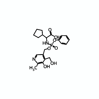 Cc1ncc(COP(=O)(NC(C(=O)O)C2CCCC2)Oc2ccccc2)c(CO)c1O